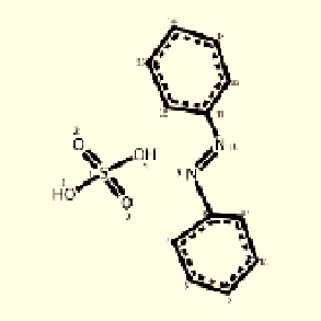 O=S(=O)(O)O.c1ccc(N=Nc2ccccc2)cc1